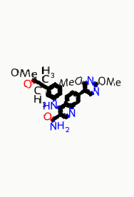 COC(=O)C(C)(C)c1cccc(Nc2c(C(N)=O)cnc3cc(-c4cnc(OC)nc4OC)ccc23)c1